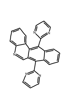 c1cnc(-c2c3ccccc3c(-c3ncccn3)c3c2cnc2ccccc23)nc1